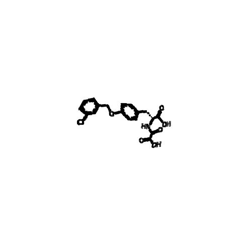 O=C(O)C(=O)N[C@H](Cc1ccc(OCc2cccc(Cl)c2)cc1)C(=O)O